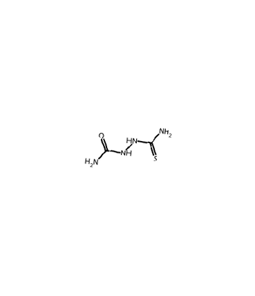 NC(=O)NNC(N)=S